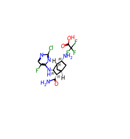 NC(=O)[C@H]1[C@H]2C[C@@H]([C@H]1Nc1nc(Cl)ncc1F)[C@H](N)C2.O=C(O)C(F)(F)F